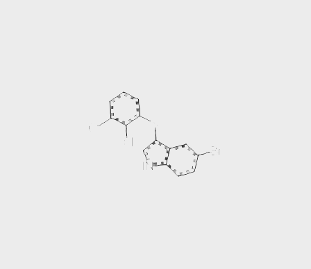 Clc1cccc(Sc2c[nH]c3ccc(Br)cc23)c1Cl